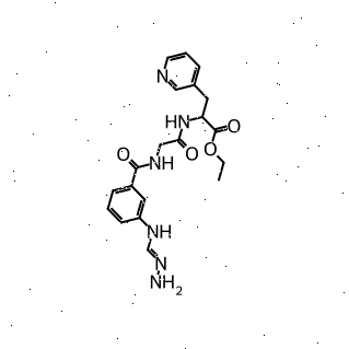 CCOC(=O)C(Cc1cccnc1)NC(=O)CNC(=O)c1cccc(NC=NN)c1